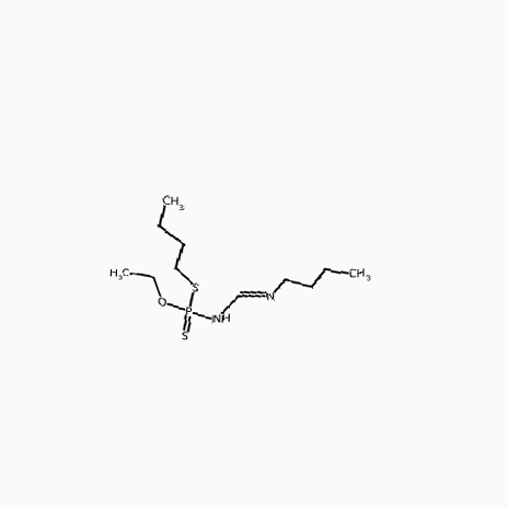 CCCC/N=C/NP(=S)(OCC)SCCCC